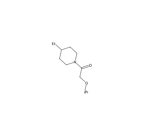 CCC1CCN(C(=O)COC(C)C)CC1